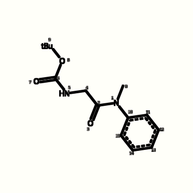 CN(C(=O)CNC(=O)OC(C)(C)C)c1ccccc1